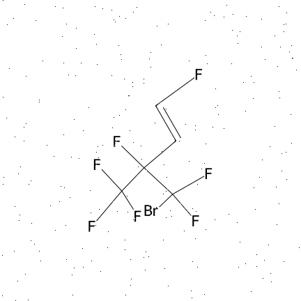 FC=CC(F)(C(F)(F)F)C(F)(F)Br